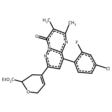 CCOC(=O)C1CC(c2cc(-c3ccc(Cl)cc3F)c3nc(C)c(C)c(=O)n3n2)=CCO1